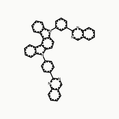 c1cc(-c2ncc3ccccc3n2)cc(-n2c3ccccc3c3c4c5ccccc5n(-c5ccc(-c6ncc7ccccc7n6)cc5)c4ccc32)c1